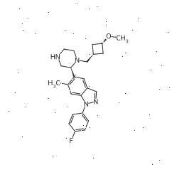 CO[C@H]1C[C@@H](CN2CCNC[C@@H]2c2cc3cnn(-c4ccc(F)cc4)c3cc2C)C1